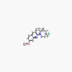 CCOc1ccc2cc(C(=O)O)c(N3CCCC(F)(F)CC3)nc2c1